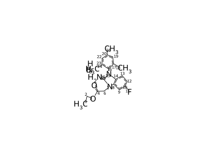 Br.CCOC(=O)CN1c2cc(F)ccc2N(c2c(C)cc(C)cc2C)C1N